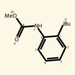 CCC(C)c1ccccc1NC(=O)OC